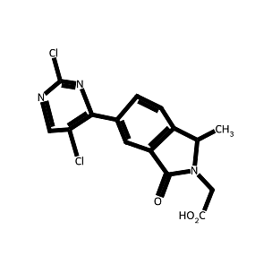 CC1c2ccc(-c3nc(Cl)ncc3Cl)cc2C(=O)N1CC(=O)O